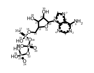 Nc1ncnc2c1ncn2C1OC(COP(O)(=[35S])OP(=O)(O)OP(=O)(O)O)C(O)C1O